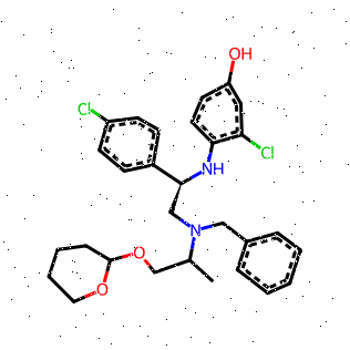 CC(COC1CCCCO1)N(Cc1ccccc1)C[C@H](Nc1ccc(O)cc1Cl)c1ccc(Cl)cc1